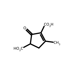 CC1=C(C(=O)O)C(=O)C(C(=O)O)C1